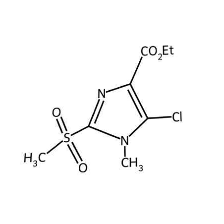 CCOC(=O)c1nc(S(C)(=O)=O)n(C)c1Cl